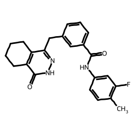 Cc1ccc(NC(=O)c2cccc(Cc3n[nH]c(=O)c4c3CCCC4)c2)cc1F